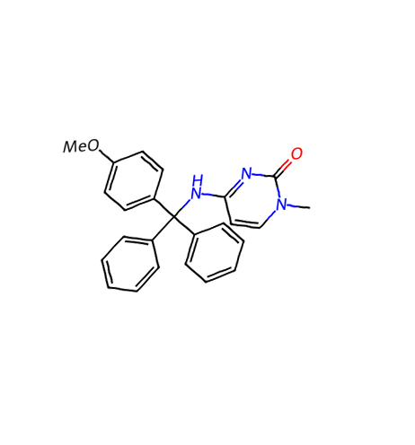 COc1ccc(C(Nc2ccn(C)c(=O)n2)(c2ccccc2)c2ccccc2)cc1